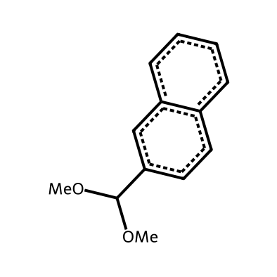 COC(OC)c1ccc2ccccc2c1